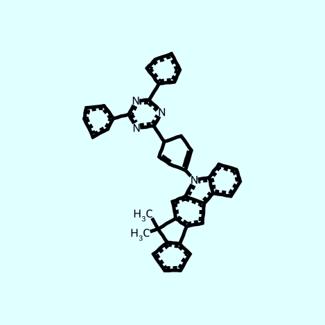 CC1(C)c2ccccc2-c2cc3c4ccccc4n(C4=CCC(c5nc(-c6ccccc6)nc(-c6ccccc6)n5)C=C4)c3cc21